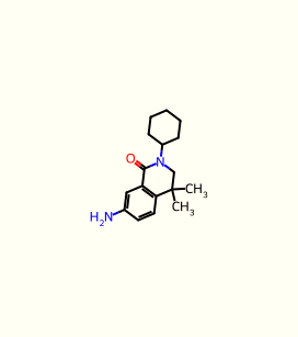 CC1(C)CN(C2CCCCC2)C(=O)c2cc(N)ccc21